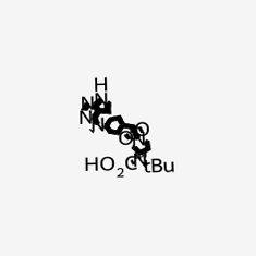 CN(c1ncnc2[nH]ccc12)C1CCC(CS(=O)(=O)N2CC[C@H](N(C(=O)O)C(C)(C)C)C2)CC1